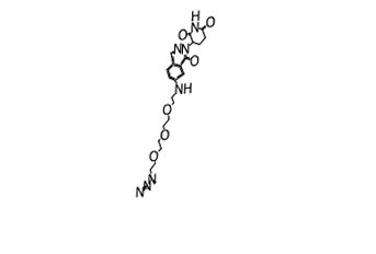 [N-]=[N+]=NCCOCCOCCOCCNc1ccc2cnn(C3CCC(=O)NC3=O)c(=O)c2c1